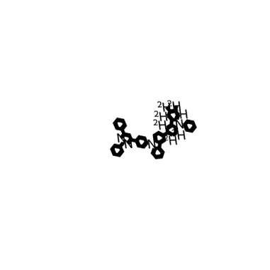 [2H]c1c([2H])c([2H])c2c(c1[2H])c1c([2H])c(-c3ccc4c(c3)c3ccccc3n4-c3ccc(-c4cc(-c5ccccc5)nc(-c5ccccc5)n4)cc3)c([2H])c([2H])c1n2-c1ccccc1